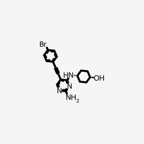 Nc1ncc(C#Cc2ccc(Br)cc2)c(N[C@H]2CC[C@H](O)CC2)n1